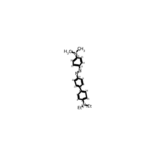 CCN(CC)c1ccc(-c2ccc(N=Nc3ccc(N(C)C)cc3)cc2)cc1